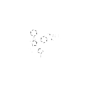 Cc1csc(-c2c(C(F)F)nn(-c3ccccc3)c2-c2ccc(S(N)(=O)=O)cc2)c1